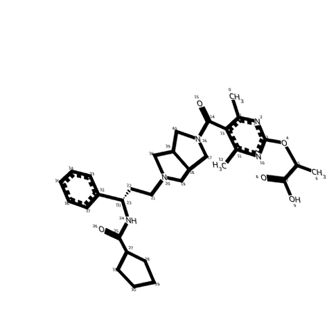 Cc1nc(OC(C)C(=O)O)nc(C)c1C(=O)N1CC2CN(CC[C@H](NC(=O)C3CCCC3)c3ccccc3)CC2C1